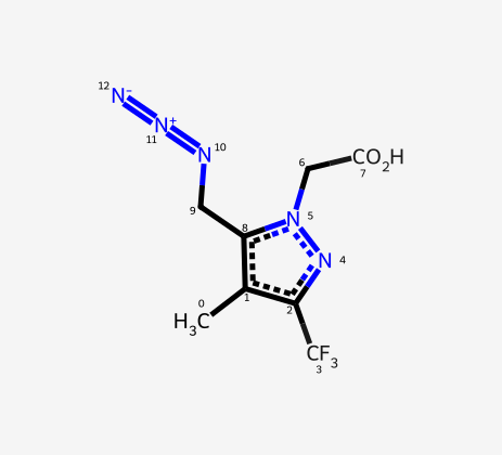 Cc1c(C(F)(F)F)nn(CC(=O)O)c1CN=[N+]=[N-]